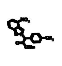 COC(=O)C(c1ccc(C)cc1)n1cc2c([N+](=O)[O-])cccc2n1